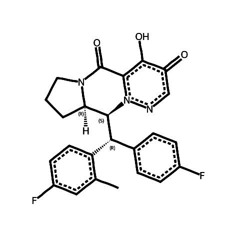 Cc1cc(F)ccc1[C@@H](c1ccc(F)cc1)[C@H]1[C@H]2CCCN2C(=O)c2c(O)c(=O)cnn21